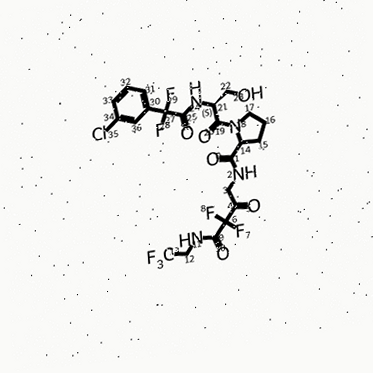 O=C(NCC(=O)C(F)(F)C(=O)NCC(F)(F)F)C1CCCN1C(=O)[C@H](CO)NC(=O)C(F)(F)c1cccc(Cl)c1